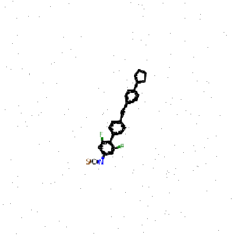 Fc1cc(N=C=S)cc(F)c1-c1ccc(C#Cc2ccc(C3CCCC3)cc2)cc1